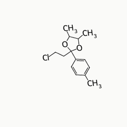 Cc1ccc(C2(CCCl)OC(C)C(C)O2)cc1